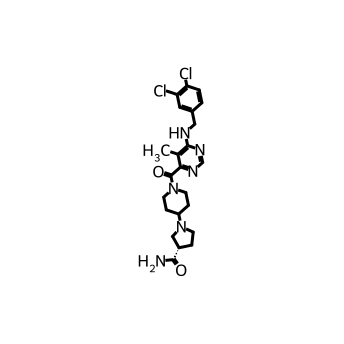 Cc1c(NCc2ccc(Cl)c(Cl)c2)ncnc1C(=O)N1CCC(N2CC[C@H](C(N)=O)C2)CC1